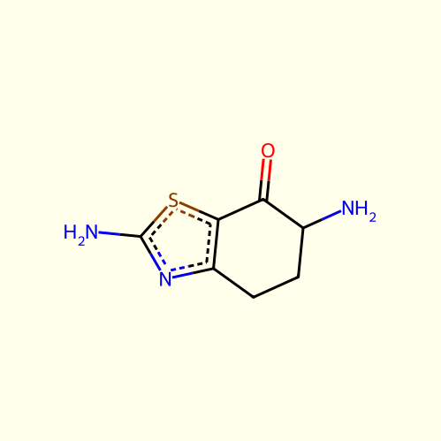 Nc1nc2c(s1)C(=O)C(N)CC2